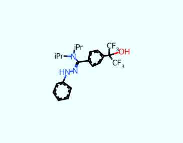 CC(C)N(C(=NNc1ccccc1)c1ccc(C(O)(C(F)(F)F)C(F)(F)F)cc1)C(C)C